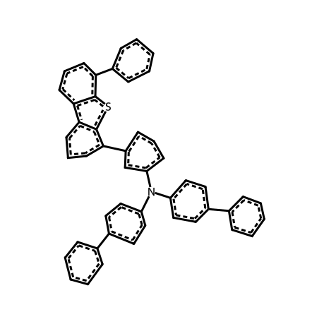 c1ccc(-c2ccc(N(c3ccc(-c4ccccc4)cc3)c3cccc(-c4cccc5c4sc4c(-c6ccccc6)cccc45)c3)cc2)cc1